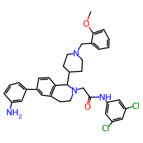 COc1ccccc1CN1CCC(C2c3ccc(-c4cccc(N)c4)cc3CCN2CC(=O)Nc2cc(Cl)cc(Cl)c2)CC1